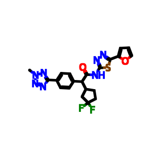 Cn1nnc(-c2ccc(C(C(=O)Nc3nnc(-c4ccco4)s3)C3CCC(F)(F)C3)cc2)n1